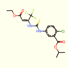 CCOC(=O)C=C(NC(=S)Nc1ccc(Cl)c(C(=O)OC(C)C)c1)C(F)(F)F